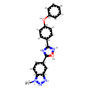 CC(C)n1nnc2cc(-c3nc(-c4ccc(Oc5ccccc5)cc4)no3)ccc21